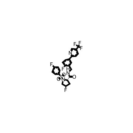 O=C(NCc1cc(-c2ccc(C(F)(F)F)cn2)ccc1F)[C@@H]1C[C@@H](F)CN1S(=O)(=O)c1ccc(F)cc1